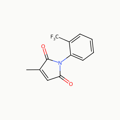 CC1=CC(=O)N(c2ccccc2C(F)(F)F)C1=O